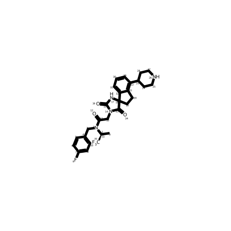 C[C@H](N(Cc1ccc(F)cc1)C(=O)CN1C(=O)NC2(CCc3c(C4CCNCC4)cccc32)C1=O)C(F)(F)F